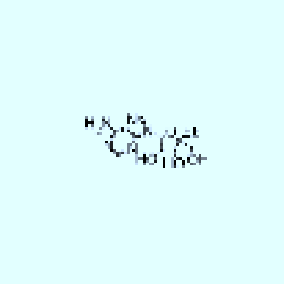 CC[C@]1(CO)O[C@@H](n2cnc3c(N)ncnc32)[C@@H](O)[C@@H]1O